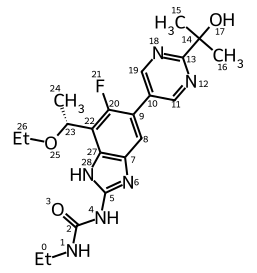 CCNC(=O)Nc1nc2cc(-c3cnc(C(C)(C)O)nc3)c(F)c([C@@H](C)OCC)c2[nH]1